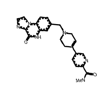 CNC(=O)c1ccc(C2=CCN(Cc3ccc4c(c3)[nH]c(=O)c3nccn34)CC2)cn1